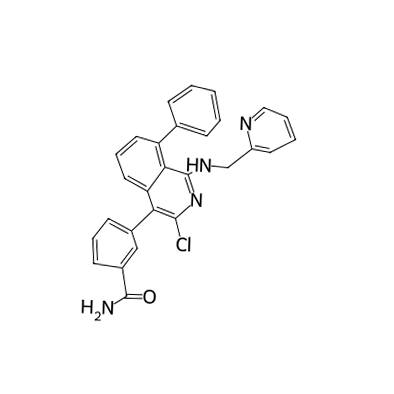 NC(=O)c1cccc(-c2c(Cl)nc(NCc3ccccn3)c3c(-c4ccccc4)cccc23)c1